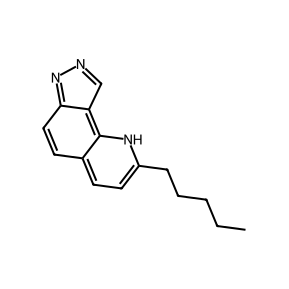 CCCCCc1ccc2ccc3nncc3c2[nH]1